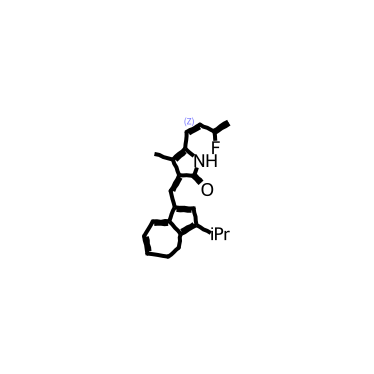 C=C(F)/C=C\C1=C(C)C(=CC2=CC(C(C)C)=C3CCC=CC=C23)C(=O)N1